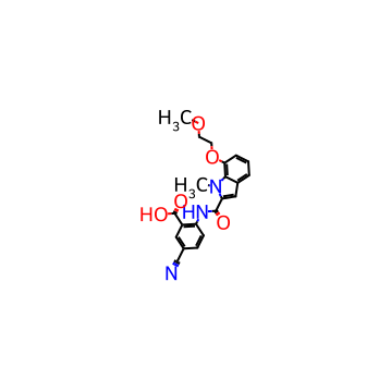 COCCOc1cccc2cc(C(=O)Nc3ccc(C#N)cc3C(=O)O)n(C)c12